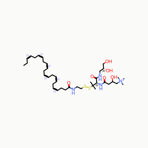 CC/C=C\C/C=C\C/C=C\C/C=C\C/C=C\C/C=C\CCC(=O)NCCSSC(C)(C)[C@H](NC(=O)CC(O)C[N+](C)(C)C)C(=O)NC[C@@H](O)CO